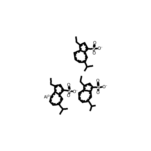 CCc1cc(S(=O)(=O)[O-])c2cc(C(C)C)cccc1-2.CCc1cc(S(=O)(=O)[O-])c2cc(C(C)C)cccc1-2.CCc1cc(S(=O)(=O)[O-])c2cc(C(C)C)cccc1-2.[Al+3]